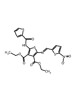 CCOC(=O)c1c(N=Cc2ccc([N+](=O)[O-])s2)sc(NC(=O)c2cccs2)c1C(=O)OCC